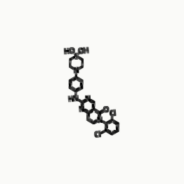 O=c1c2cnc(Nc3ccc(N4CCS(O)(O)CC4)cc3)nc2ccn1-c1c(Cl)cccc1Cl